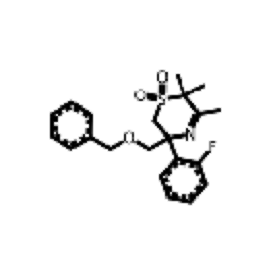 CC1=NC(COCc2ccccc2)(c2ccccc2F)CS(=O)(=O)C1(C)C